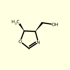 C[C@@H]1O[C]=N[C@@H]1CO